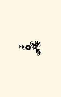 Cc1nc2c(=O)n(-c3ccc(OCF)cc3)cc(-c3cnn(C)c3)c2o1